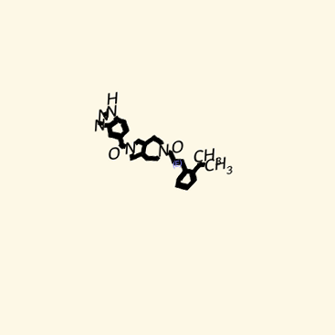 CC(C)c1ccccc1/C=C/C(=O)N1CCC2CN(C(=O)c3ccc4[nH]nnc4c3)CC2CC1